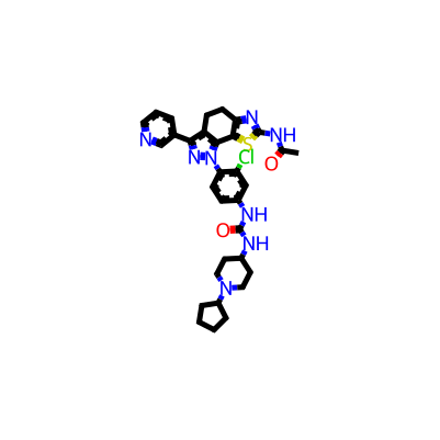 CC(=O)Nc1nc2c(s1)-c1c(c(-c3cccnc3)nn1-c1ccc(NC(=O)NC3CCN(C4CCCC4)CC3)cc1Cl)CC2